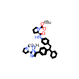 CC(C)(C)OC(=O)N1CCC[C@@H]1C(=O)Nc1ccc(CC(c2ccccc2)c2ccc(-c3cnc([C@@H]4CCCN4C(=O)O)[nH]3)cc2)cc1